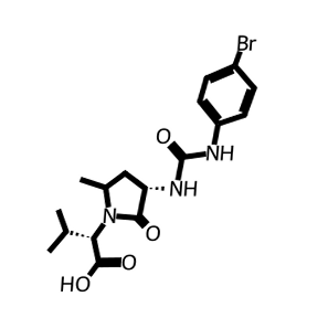 CC(C)[C@@H](C(=O)O)N1C(=O)[C@@H](NC(=O)Nc2ccc(Br)cc2)CC1C